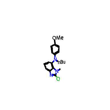 CCCCN(c1ccc(OC)cc1)c1cccc2nc(Cl)n(C)c12